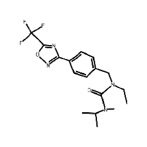 CCN(Cc1ccc(-c2noc(C(F)(F)F)n2)cc1)C(=O)N(C)C(C)C